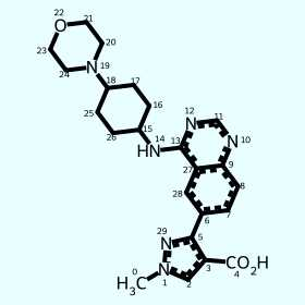 Cn1cc(C(=O)O)c(-c2ccc3ncnc(NC4CCC(N5CCOCC5)CC4)c3c2)n1